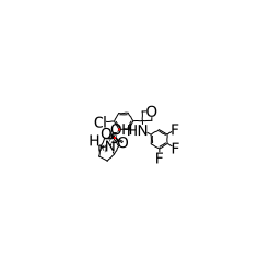 O=S(=O)(c1cc(C2(Nc3cc(F)c(F)c(F)c3)COC2)ccc1Cl)N1C2CC[C@@H]1C[C@H](O)C2